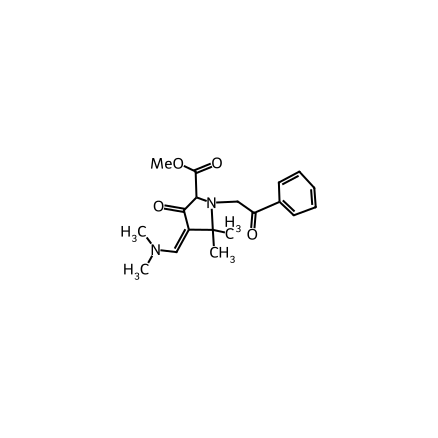 COC(=O)C1C(=O)/C(=C\N(C)C)C(C)(C)N1CC(=O)c1ccccc1